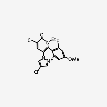 CCn1c(-c2c(F)cc(OC)cc2F)c(-n2cc(Cl)cn2)cc(Cl)c1=O